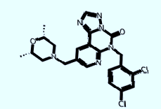 C[C@@H]1CN(Cc2cnc3c(c2)c2ncnn2c(=O)n3Cc2ccc(Cl)cc2Cl)C[C@H](C)O1